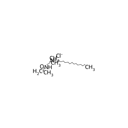 C=C(C)C(=O)NCCC[N+](C)(C)CCCCCCCCCCCCCCCC.[Cl-]